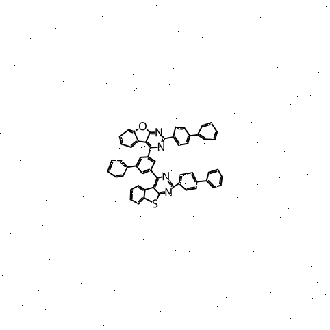 c1ccc(-c2ccc(-c3nc(-c4cc(-c5ccccc5)cc(-c5nc(-c6ccc(-c7ccccc7)cc6)nc6sc7ccccc7c56)c4)c4c(n3)oc3ccccc34)cc2)cc1